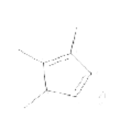 C[C]1C=CC(C)=C1C.[Zr]